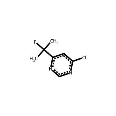 CC(C)(F)c1cc(Cl)ncn1